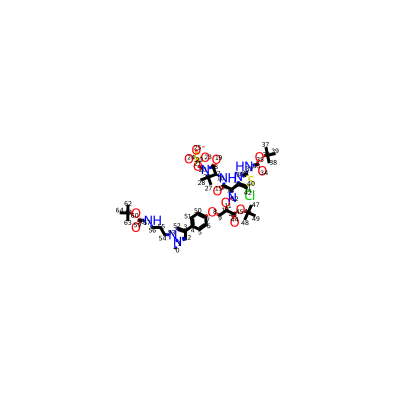 C[n+]1cc(-c2ccc(OCC(O/N=C(\C(=O)N[C@@H]3C(=O)N(OS(=O)(=O)[O-])C3(C)C)c3nc(NC(=O)OC(C)(C)C)sc3Cl)C(=O)OC(C)(C)C)cc2)cn1CCCNC(=O)OC(C)(C)C